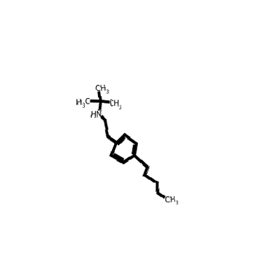 CCCCCc1ccc(CCNC(C)(C)C)cc1